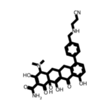 CN(C)C1C(O)=C(C(N)=O)C(=O)C2(O)C(O)=C3C(=O)c4c(O)ccc(-c5ccc(CNCCC#N)cc5)c4CC3CC12